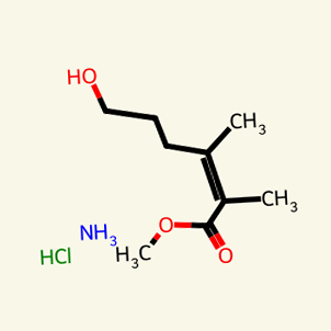 COC(=O)C(C)=C(C)CCCO.Cl.N